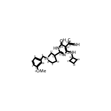 COc1cccc(CN2CCCC(c3nc(NC4CCC4)c(C(C)=N)c(=O)[nH]3)C2)c1